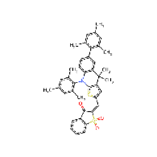 Cc1cc(C)c(-c2ccc3c(c2)C(C)(C)c2cc(/C=C4\C(=O)c5ccccc5S4(=O)=O)sc2N3c2c(C)cc(C)cc2C)c(C)c1